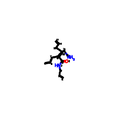 C=CCNC(=O)/C(CC=C)=C(\CN)CC=C